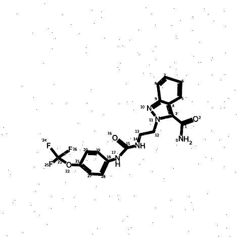 NC(=O)c1c2ccccc2nn1CCNC(=O)Nc1ccc(OC(F)(F)F)cc1